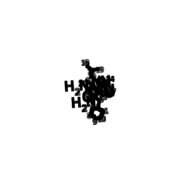 CCCC(N)(Cc1ccccc1)C(C)([C@@H](NCC(C)C)C(N)=O)S(C)(=O)=O.Cl